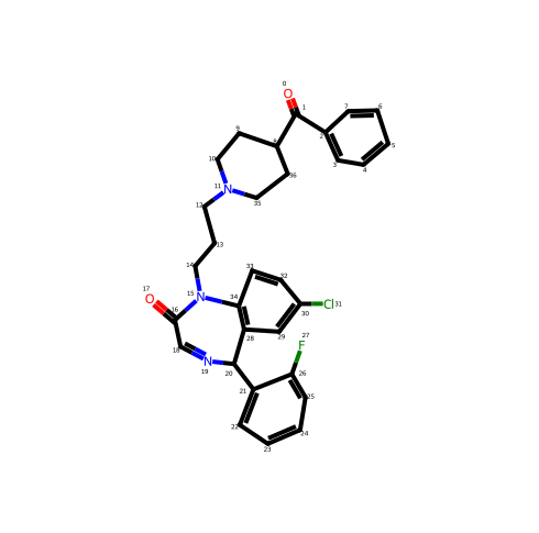 O=C(c1ccccc1)C1CCN(CCCN2C(=O)C=NC(c3ccccc3F)c3cc(Cl)ccc32)CC1